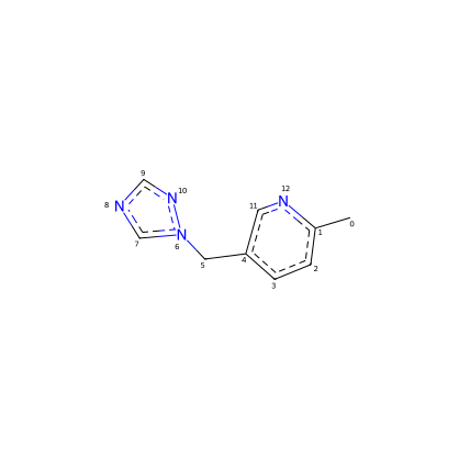 Cc1ccc(Cn2cncn2)cn1